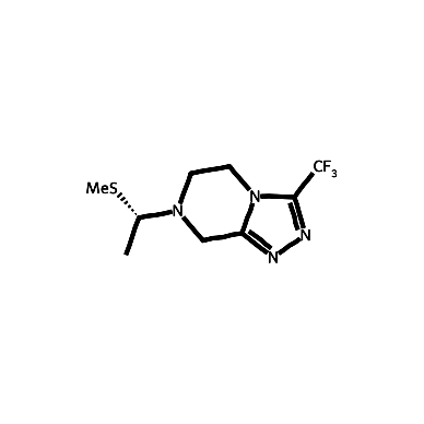 CS[C@@H](C)N1CCn2c(nnc2C(F)(F)F)C1